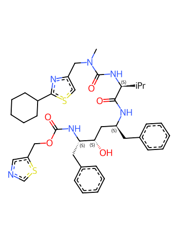 CC(C)[C@H](NC(=O)N(C)Cc1csc(C2CCCCC2)n1)C(=O)N[C@@H](Cc1ccccc1)C[C@H](O)[C@H](Cc1ccccc1)NC(=O)OCc1cncs1